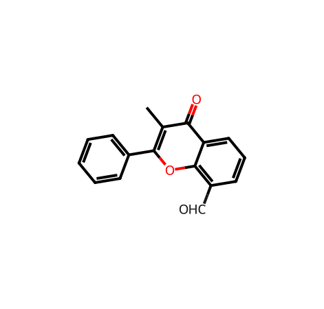 Cc1c(-c2ccccc2)oc2c(C=O)cccc2c1=O